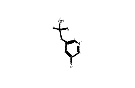 CC(C)(O)Cc1cncc(I)c1